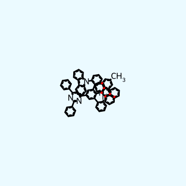 Cc1ccc2c(c1)c1ccccc1n2-c1c(-c2ccccc2-n2c3ccccc3c3ccccc32)cc(-c2cc(-c3ccccc3)nc(-c3ccccc3)n2)cc1-c1ccccc1-n1c2ccccc2c2ccccc21